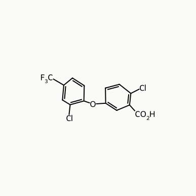 O=C(O)c1cc(Oc2ccc(C(F)(F)F)cc2Cl)ccc1Cl